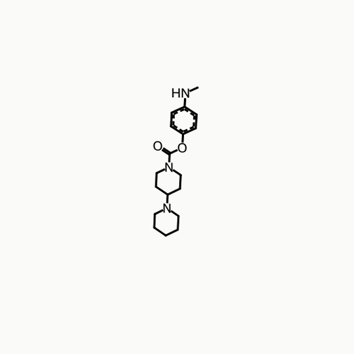 CNc1ccc(OC(=O)N2CCC(N3CCCCC3)CC2)cc1